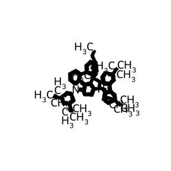 CCCCCCC(C)(CCCCCC)c1c(-n2c3ccc(C(C)(C)C)cc3c3cc(C(C)(C)C)ccc32)ccc2c1c1c(-c3ccccc3)cccc1n2-c1cc(C(C)(C)C)cc(C(C)(C)C)c1